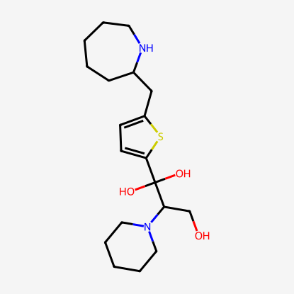 OCC(N1CCCCC1)C(O)(O)c1ccc(CC2CCCCCN2)s1